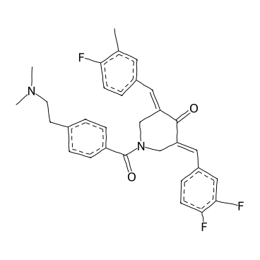 Cc1cc(/C=C2\CN(C(=O)c3ccc(CCN(C)C)cc3)C/C(=C\c3ccc(F)c(F)c3)C2=O)ccc1F